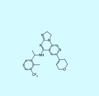 Cc1c(C(C)NC2=NC3=NCCN3c3cnc(C4=CCOCC4)cc32)cccc1C(F)(F)F